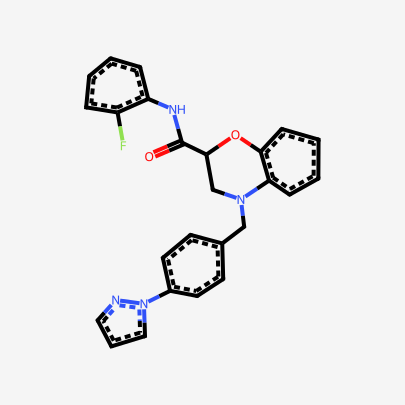 O=C(Nc1ccccc1F)C1CN(Cc2ccc(-n3cccn3)cc2)c2ccccc2O1